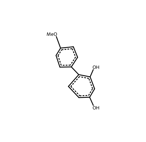 COc1ccc(-c2ccc(O)cc2O)cc1